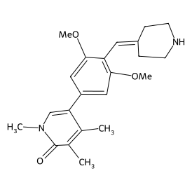 COc1cc(-c2cn(C)c(=O)c(C)c2C)cc(OC)c1C=C1CCNCC1